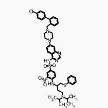 CC(C)N(CCC(CSc1ccccc1)Nc1ccc(S(=O)(=O)Nc2ncnc3cc(N4CCN(Cc5ccccc5-c5ccc(Cl)cc5)CC4)ccc23)cc1[N+](=O)[O-])C(C)C